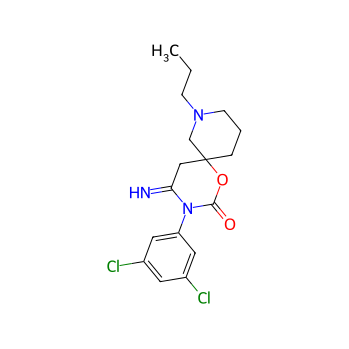 CCCN1CCCC2(CC(=N)N(c3cc(Cl)cc(Cl)c3)C(=O)O2)C1